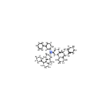 CC1(C)c2cc(N(c3ccc(-c4cc5ccccc5cc4-c4ccccc4)cc3)c3cccc(-c4ccccc4)c3)ccc2-c2c(-c3ccccc3)cccc21